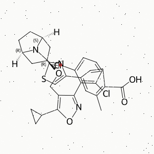 Cc1cc(-c2csc(N3[C@@H]4CC[C@H]3C[C@@H](OCc3c(-c5c(Cl)cccc5Cl)noc3C3CC3)C4)n2)ccc1C(=O)O